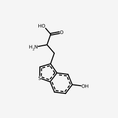 NC(Cc1csc2ccc(O)cc12)C(=O)O